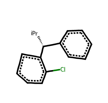 CC(C)[C@H](c1ccccc1)c1ccccc1Cl